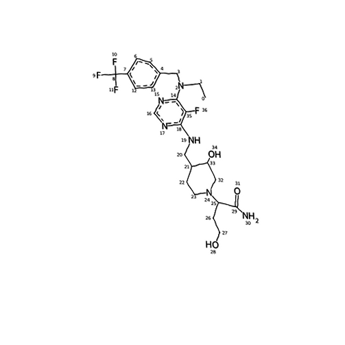 CCN(Cc1ccc(C(F)(F)F)cc1)c1ncnc(NCC2CCN(C(CCO)C(N)=O)CC2O)c1F